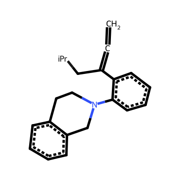 C=C=C(CC(C)C)c1ccccc1N1CCc2ccccc2C1